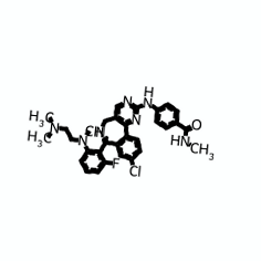 CNC(=O)c1ccc(Nc2ncc3c(n2)-c2ccc(Cl)cc2C(c2c(F)cccc2N(C)CCN(C)C)=NC3)cc1